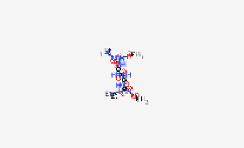 C=CC(=O)OCCCNC(=O)c1cc(NC(=O)c2ccc(C3=C4C(=O)NC(c5ccc(C(=O)Nc6cc(C(=O)NCCCCN(CC)CC)cc(C(=O)NCCCOC(=O)C=C)c6)cc5)=C4C(=O)N3)cc2)cc(C(=O)NCCCCN(CC)CC)c1